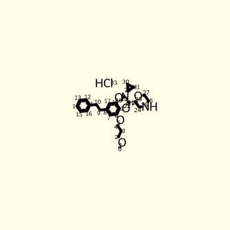 COCCCOc1cc(CCc2ccccc2)cc(ON(C(=O)[C@H]2CNCCO2)C2CC2)c1.Cl